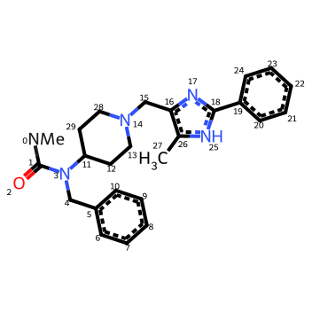 CNC(=O)N(Cc1ccccc1)C1CCN(Cc2nc(-c3ccccc3)[nH]c2C)CC1